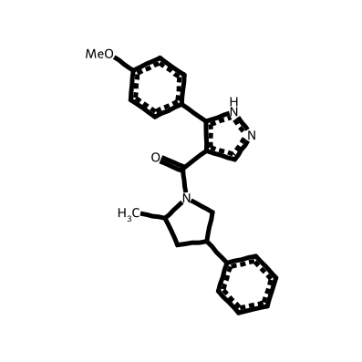 COc1ccc(-c2[nH]ncc2C(=O)N2CC(c3ccccc3)CC2C)cc1